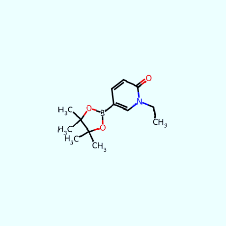 CCn1cc(B2OC(C)(C)C(C)(C)O2)ccc1=O